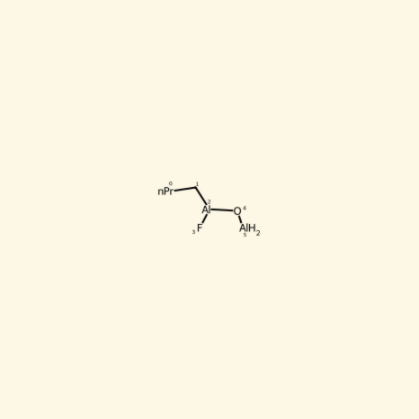 CCC[CH2][Al]([F])[O][AlH2]